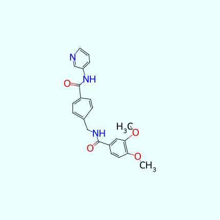 COc1ccc(C(=O)NCc2ccc(C(=O)Nc3cccnc3)cc2)cc1OC